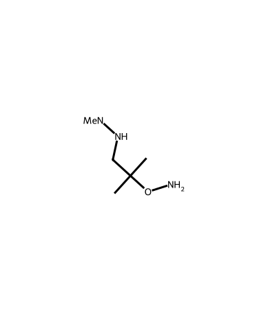 CNNCC(C)(C)ON